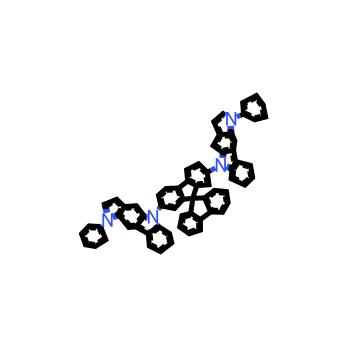 c1ccc(-n2ccc3cc4c(cc32)c2ccccc2n4-c2ccc3c(c2)C2(c4ccccc4-c4ccccc42)c2cc(-n4c5ccccc5c5cc6c(ccn6-c6ccccc6)cc54)ccc2-3)cc1